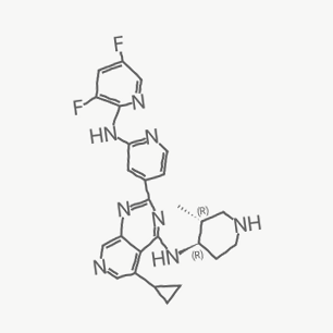 C[C@@H]1CNCC[C@H]1Nc1nc(-c2ccnc(Nc3ncc(F)cc3F)c2)nc2cncc(C3CC3)c12